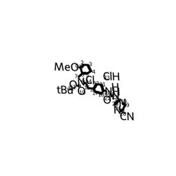 COc1ccccc1CN(C(=O)OC(C)(C)C)C(Cl)Cc1ccc(NC(=O)Nc2cnc(C#N)cn2)cc1.Cl